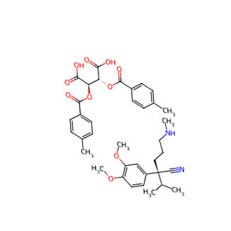 CNCCC[C@](C#N)(c1ccc(OC)c(OC)c1)C(C)C.Cc1ccc(C(=O)O[C@@H](C(=O)O)[C@@H](OC(=O)c2ccc(C)cc2)C(=O)O)cc1